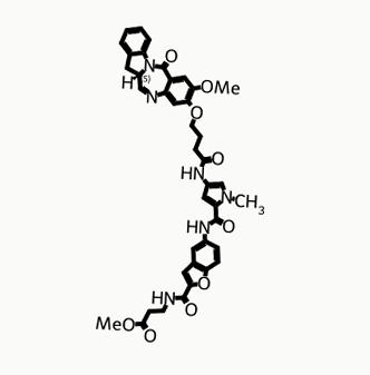 COC(=O)CCNC(=O)c1cc2cc(NC(=O)c3cc(NC(=O)CCCOc4cc5c(cc4OC)C(=O)N4c6ccccc6C[C@H]4C=N5)cn3C)ccc2o1